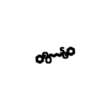 O=C(CCCCC(=S)OC1CCCCC1)OC1CCCCC1